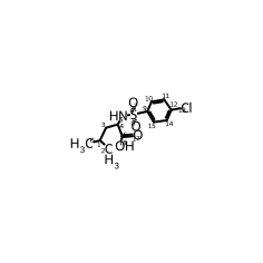 CC(C)CC(NS(=O)(=O)c1ccc(Cl)cc1)C(=O)O